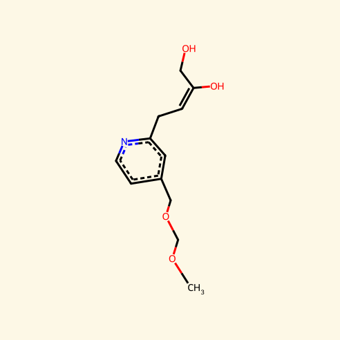 COCOCc1ccnc(C/C=C(/O)CO)c1